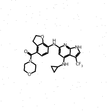 O=C(c1ccc(Nc2cc(NC3CC3)c3c(C(F)(F)F)c[nH]c3n2)c2c1CCO2)N1CCOCC1